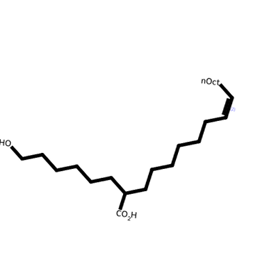 CCCCCCCC/C=C\CCCCCCC(CCCCCCO)C(=O)O